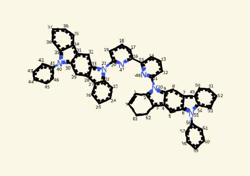 C1=Cc2c(c3cc4c(cc3n2-c2cccc(-c3cccc(-n5c6ccccc6c6cc7c(cc65)c5ccccc5n7-c5ccccc5)n3)n2)c2ccccc2n4-c2ccccc2)CC1